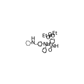 CCOP(=O)(OCC)c1ccc2c(c1)C(=C(Nc1ccc(CNC3CCCCC3)cc1)c1ccccc1)C(=O)N2